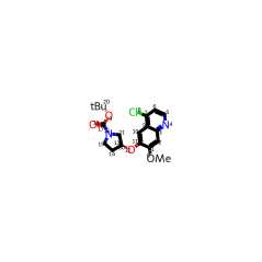 COc1cc2nccc(Cl)c2cc1O[C@H]1CCN(C(=O)OC(C)(C)C)C1